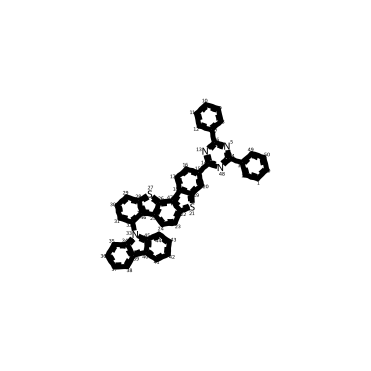 c1ccc(-c2nc(-c3ccccc3)nc(-c3ccc4c(c3)sc3ccc5c(sc6cccc(-n7c8ccccc8c8ccccc87)c65)c34)n2)cc1